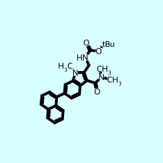 CN(C)C(=O)c1c(CNC(=O)OC(C)(C)C)n(C)c2cc(-c3cccc4ccccc34)ccc12